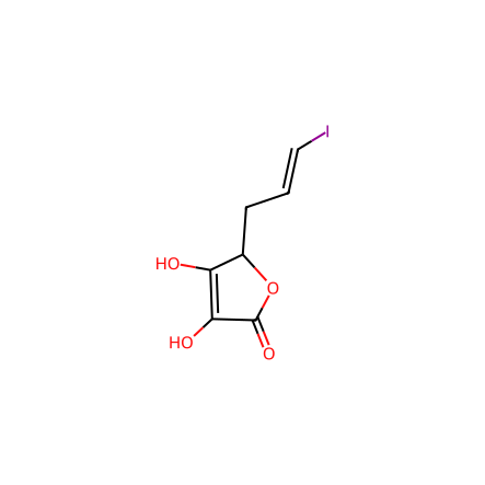 O=C1OC(CC=CI)C(O)=C1O